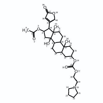 CC(=O)OC1CC2(O)C3CCC4CC(OC(=O)OCCN5CCCC5)CCC4(C)C3CCC2(C)C1C1=CC(=O)OC1